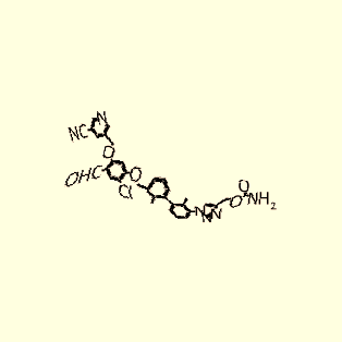 Cc1c(COc2cc(OCc3cncc(C#N)c3)c(C=O)cc2Cl)cccc1-c1cccc(-n2cc(COC(N)=O)nn2)c1C